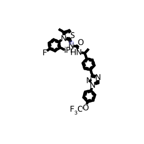 Cc1cs/c(=N\C(=O)NC(C)c2ccc(-c3ncn(-c4ccc(OC(F)(F)F)cc4)n3)cc2)n1-c1ccc(F)cc1C(C)C